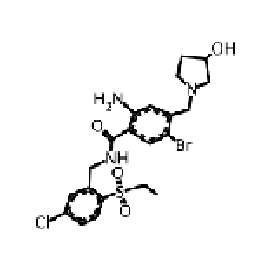 CCS(=O)(=O)c1ccc(Cl)cc1CNC(=O)c1cc(Br)c(CN2CCC(O)C2)cc1N